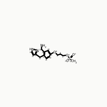 CS(=O)(=O)OCCCOc1ccc(Cc2cc[nH]n2)c(CN)c1